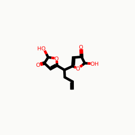 C=CC[C](C1=CC(=O)C(O)O1)C1=CC(=O)C(O)O1